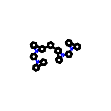 c1cc(-c2ccc3c(c2)c2ccccc2n3-c2cccc(-n3c4ccccc4c4ccccc43)c2)cc(-c2ccc3c(c2)c2ccccc2n3-c2cccc(-n3c4ccccc4c4ccccc43)c2)c1